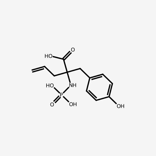 C=CCC(Cc1ccc(O)cc1)(NP(=O)(O)O)C(=O)O